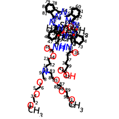 COCCOCCOCCN(CCCOC(=O)NCCC[Si](C)(C)O[Si]1(O[Si](C)(C)CCCNC(=O)CCCCC(=O)O)n2c3c4ccccc4c2/N=C2N=C(/N=c4/c5ccccc5/c(n41)=N/C1=NC(=N\3)/c3ccccc31)c1ccccc1\2)CCOCCOCCOC